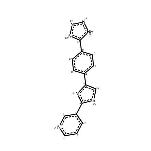 c1cncc(-c2nc(-c3ccc(-c4nnn[nH]4)cc3)cs2)c1